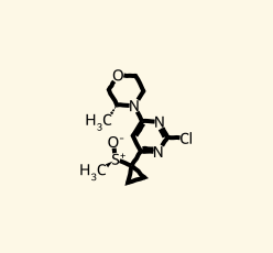 C[C@@H]1COCCN1c1cc(C2([S@@+](C)[O-])CC2)nc(Cl)n1